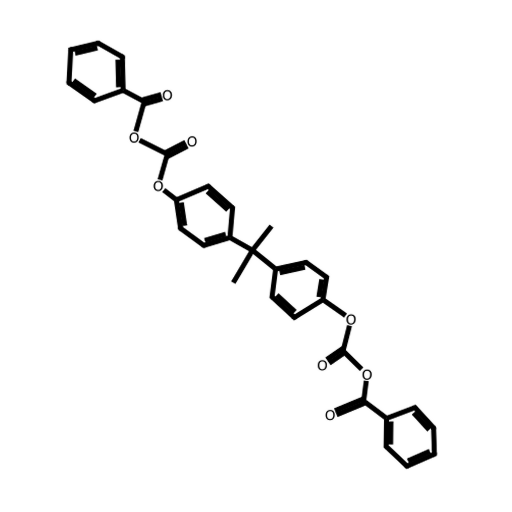 CC(C)(c1ccc(OC(=O)OC(=O)c2ccccc2)cc1)c1ccc(OC(=O)OC(=O)c2ccccc2)cc1